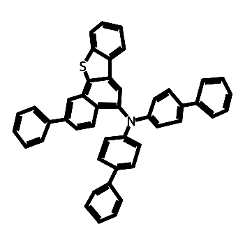 c1ccc(-c2ccc(N(c3ccc(-c4ccccc4)cc3)c3cc4c5ccccc5sc4c4cc(-c5ccccc5)ccc34)cc2)cc1